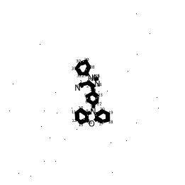 N#Cc1c(-c2ccc(N3c4ccccc4Oc4ccccc43)cc2)nnn1-c1ccccc1